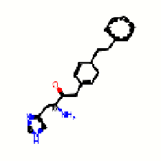 N[C@@H](Cc1c[nH]cn1)C(=O)CC1=CCC(CCc2ccccc2)C=C1